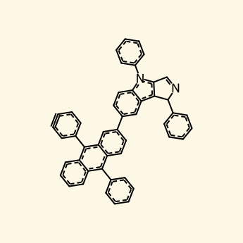 c1ccc(-c2c3ccccc3c(-c3ccccc3)c3ccc(-c4ccc5c(c4)c4c(n5-c5ccccc5)C=NC4c4ccccc4)cc23)cc#1